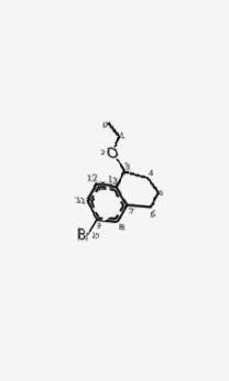 CCOC1CCCc2cc(Br)ccc21